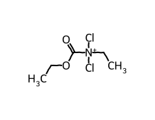 CCOC(=O)[N+](Cl)(Cl)CC